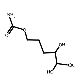 CC(C)(C)C(O)C(O)CCCOC(N)=O